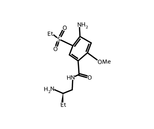 CC[C@@H](N)CNC(=O)c1cc(S(=O)(=O)CC)c(N)cc1OC